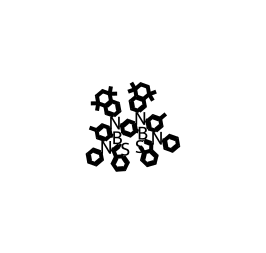 Cc1cc2c3c(c1)N(c1ccccc1)c1c(sc4ccccc14)B3c1cc3c(cc1N2c1ccc2c(c1)C(C)(C)CCC2(C)C)N(c1ccc2c(c1)C(C)(C)CCC2(C)C)c1cc(C)cc2c1B3c1sc3ccccc3c1N2c1ccccc1